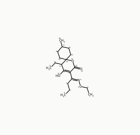 CCCC(=NOCC)C1=C(O)C(CC)C2(CCC(C)CC2)OC1=O